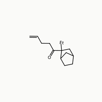 C=CCCC(=O)C1(CC)CC2CCC1C2